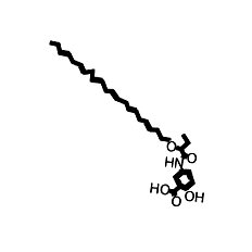 CCC=CCC=CCC=CCC=CCC=CCC=CCCCOC(CC)C(=O)Nc1ccc(O)c(C(=O)O)c1